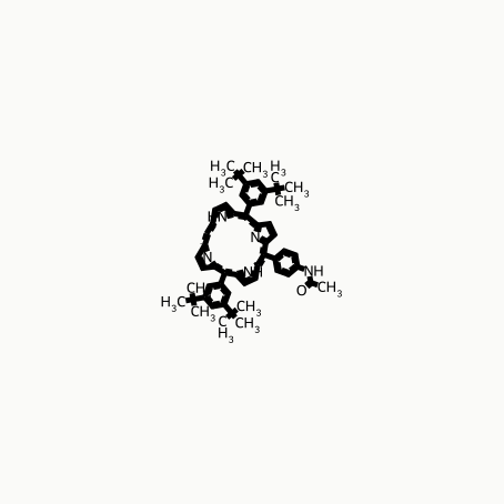 CC(=O)Nc1ccc(-c2c3nc(c(-c4cc(C(C)(C)C)cc(C(C)(C)C)c4)c4ccc(cc5nc(c(-c6cc(C(C)(C)C)cc(C(C)(C)C)c6)c6ccc2[nH]6)C=C5)[nH]4)C=C3)cc1